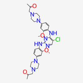 COc1cc(N2CCN(CC(C)=O)CC2)ccc1Nc1ncc(Cl)c(Nc2ccc(N3CCN(CC(C)=O)CC3)cc2OC)n1